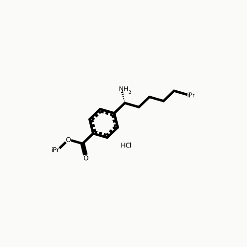 CC(C)CCCC[C@@H](N)c1ccc(C(=O)OC(C)C)cc1.Cl